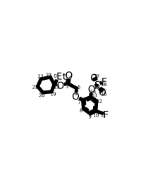 CCC1(OC(=O)COc2ccc(F)cc2OS(=O)(=O)F)CCCCC1